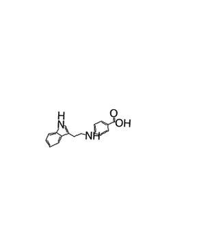 O=C(O)c1ccc(NCCc2c[nH]c3ccccc23)cc1